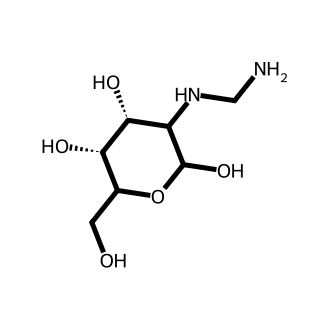 NCNC1C(O)OC(CO)[C@H](O)[C@@H]1O